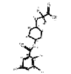 O=C(OC1CCC(OC(F)(F)C(=O)O)CC1)c1cc(I)cc(I)c1I